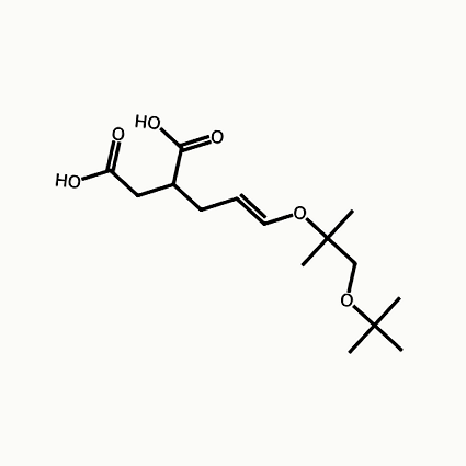 CC(C)(C)OCC(C)(C)O/C=C/CC(CC(=O)O)C(=O)O